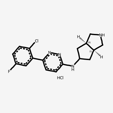 Cl.Fc1ccc(Cl)c(-c2ccc(NC3C[C@H]4CNC[C@H]4C3)nn2)c1